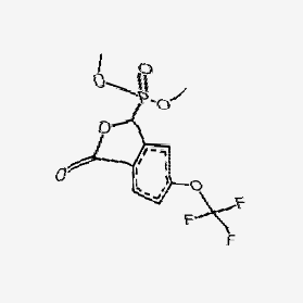 COP(=O)(OC)C1OC(=O)c2ccc(OC(F)(F)F)cc21